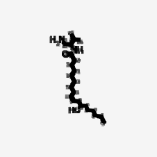 CCCCCC[C@@H](O)C/C=C\CCCCCCCC(=O)NC(CN)[C](C)C